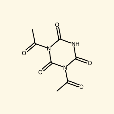 CC(=O)n1c(=O)[nH]c(=O)n(C(C)=O)c1=O